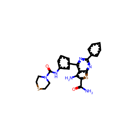 NC(=O)c1sc2nc(-c3ccccc3)nc(-c3cccc(NC(=O)N4CCSCC4)c3)c2c1N